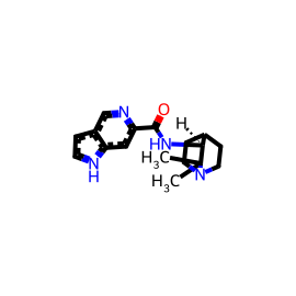 CC1(C)[C@@H](NC(=O)c2cc3[nH]ccc3cn2)C2CCN1CC2